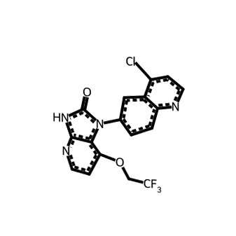 O=c1[nH]c2nccc(OCC(F)(F)F)c2n1-c1ccc2nccc(Cl)c2c1